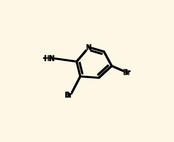 [NH]c1ncc(Br)cc1Br